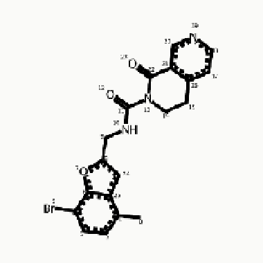 Cc1ccc(Br)c2oc(CNC(=O)N3CCc4ccncc4C3=O)cc12